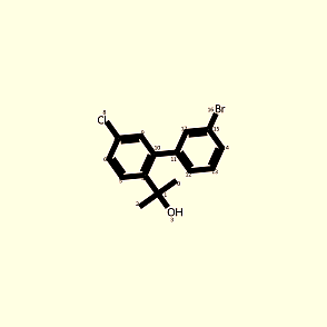 CC(C)(O)c1ccc(Cl)cc1-c1cccc(Br)c1